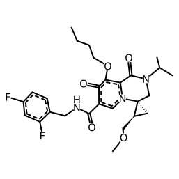 CCCCOc1c2n(cc(C(=O)NCc3ccc(F)cc3F)c1=O)[C@@]1(C[C@H]1COC)CN(C(C)C)C2=O